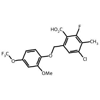 COc1cc(OC(F)(F)F)ccc1OCc1cc(Cl)c(C)c(F)c1C(=O)O